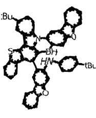 CC(C)(C)c1ccc(Nc2cc3oc4ccccc4c3cc2-c2c3c4c(c5cc(C(C)(C)C)ccc5n4-c4cc5c(cc4B3)oc3ccccc35)c3sc4ccccc4c23)cc1